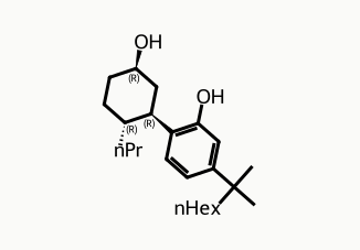 CCCCCCC(C)(C)c1ccc([C@@H]2C[C@H](O)CC[C@H]2CCC)c(O)c1